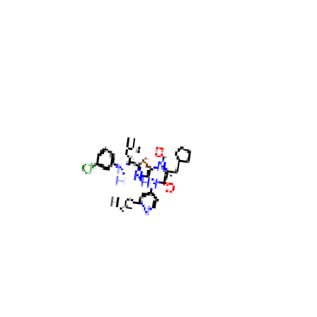 Cc1cc(NC(=O)[C@H](CC2CCCC2)N(C=O)c2cnc([C@H](C)Nc3cccc(Cl)c3)s2)ccn1